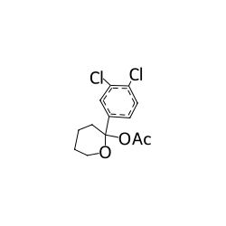 CC(=O)OC1(c2ccc(Cl)c(Cl)c2)CCCCO1